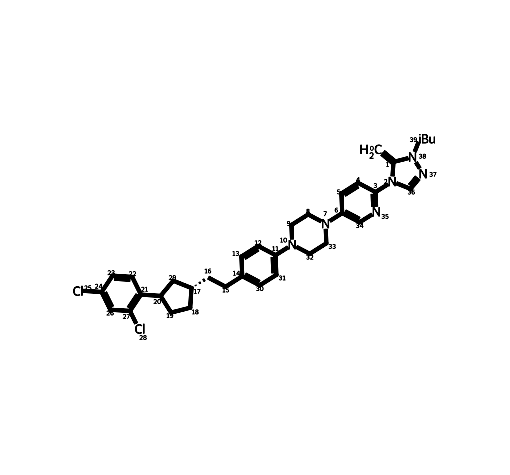 C=C1N(c2ccc(N3CCN(c4ccc(CC[C@@H]5CCC(c6ccc(Cl)cc6Cl)C5)cc4)CC3)cn2)C=NN1C(C)CC